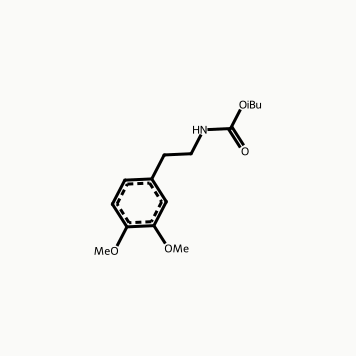 COc1ccc(CCNC(=O)OCC(C)C)cc1OC